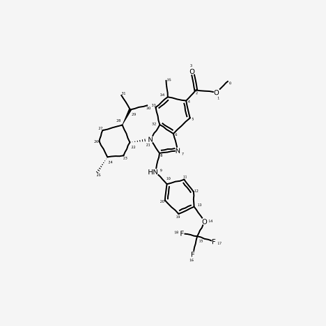 COC(=O)c1cc2nc(Nc3ccc(OC(F)(F)F)cc3)n([C@@H]3C[C@H](C)CC[C@H]3C(C)C)c2cc1C